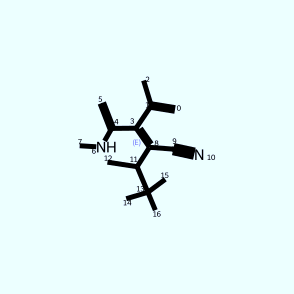 C=C(C)/C(C(=C)NC)=C(\C#N)C(C)C(C)(C)C